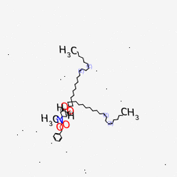 CCCCC/C=C\C/C=C\CCCCCCCCC1(CCCCCCCC/C=C\C/C=C\CCCCC)CC2(C1)O[C@H]1CC(N(C)C(=O)OCc3ccccc3)C[C@H]1O2